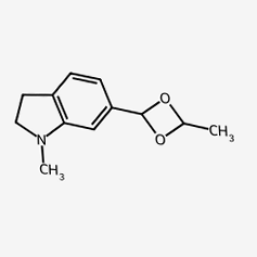 CC1OC(c2ccc3c(c2)N(C)CC3)O1